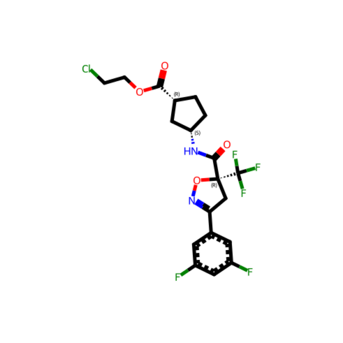 O=C(OCCCl)[C@@H]1CC[C@H](NC(=O)[C@@]2(C(F)(F)F)CC(c3cc(F)cc(F)c3)=NO2)C1